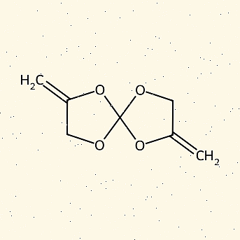 C=C1COC2(OCC(=C)O2)O1